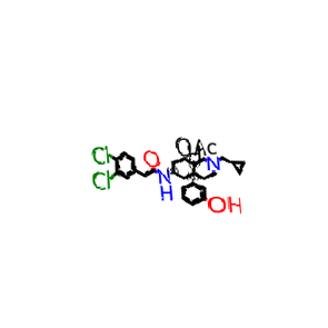 CC(=O)OC1C[C@@H](NC(=O)Cc2ccc(Cl)c(Cl)c2)C[C@]2(c3cccc(O)c3)CCN(CC3CC3)C[C@@H]12